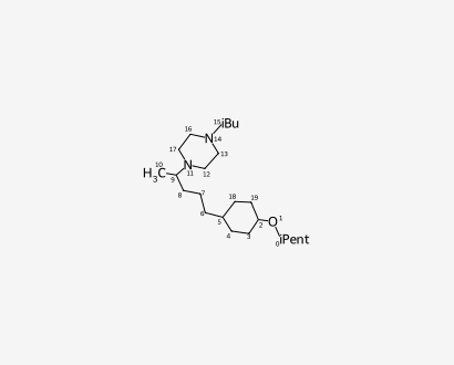 CCCC(C)OC1CCC(CCCC(C)N2CCN(C(C)CC)CC2)CC1